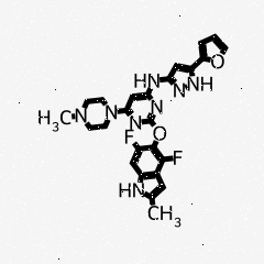 Cc1cc2c(F)c(Oc3nc(Nc4cc(-c5ccco5)[nH]n4)cc(N4CCN(C)CC4)n3)c(F)cc2[nH]1